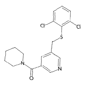 O=C(c1cncc(CSc2c(Cl)cccc2Cl)c1)N1CCCCC1